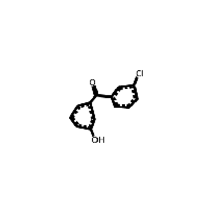 O=C(c1cccc(O)c1)c1cccc(Cl)c1